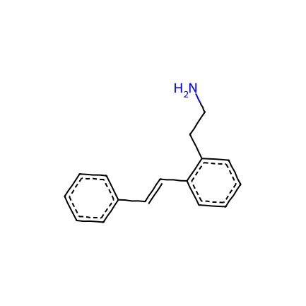 NCCc1ccccc1/C=C/c1ccccc1